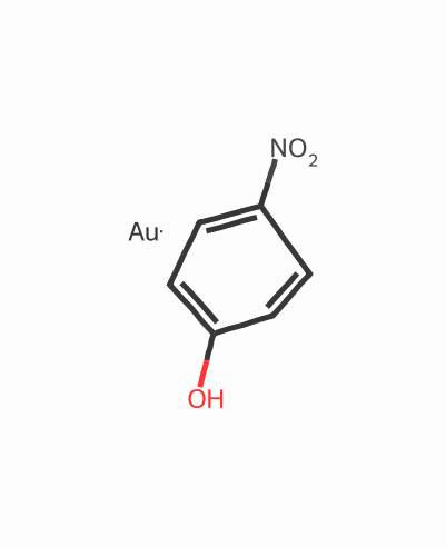 O=[N+]([O-])c1ccc(O)cc1.[Au]